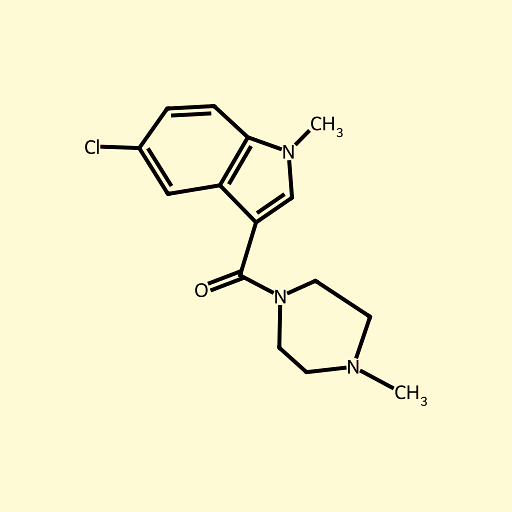 CN1CCN(C(=O)c2cn(C)c3ccc(Cl)cc23)CC1